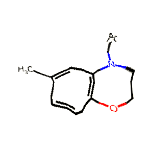 CC(=O)N1CCOc2ccc(C)cc21